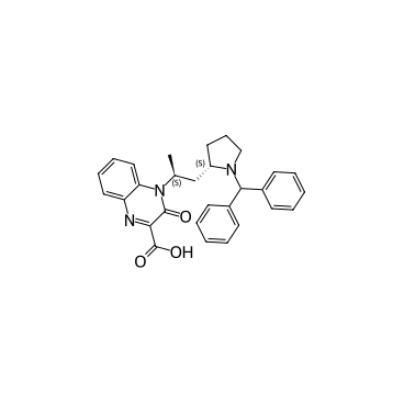 C[C@@H](C[C@@H]1CCCN1C(c1ccccc1)c1ccccc1)n1c(=O)c(C(=O)O)nc2ccccc21